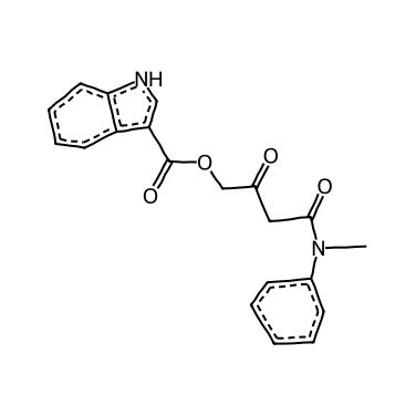 CN(C(=O)CC(=O)COC(=O)c1c[nH]c2ccccc12)c1ccccc1